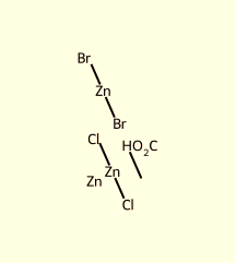 CC(=O)O.[Br][Zn][Br].[Cl][Zn][Cl].[Zn]